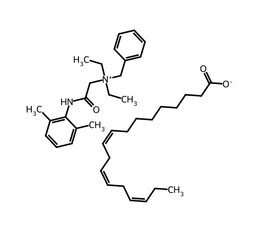 CC/C=C\C/C=C\C/C=C\CCCCCCCC(=O)[O-].CC[N+](CC)(CC(=O)Nc1c(C)cccc1C)Cc1ccccc1